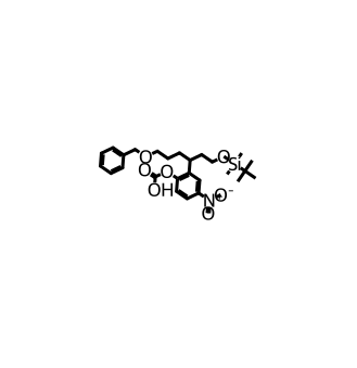 CC(C)(C)[Si](C)(C)OCCC(CCCOCc1ccccc1)c1cc([N+](=O)[O-])ccc1OC(=O)O